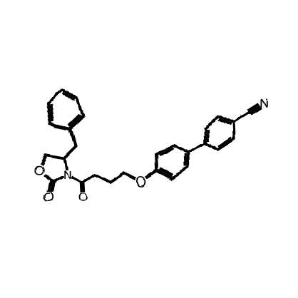 N#Cc1ccc(-c2ccc(OCCCC(=O)N3C(=O)OCC3Cc3ccccc3)cc2)cc1